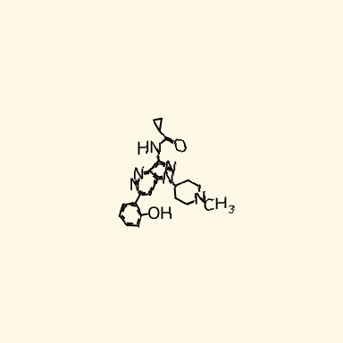 CN1CCC(n2nc(NC(=O)C3CC3)c3nnc(-c4ccccc4O)cc32)CC1